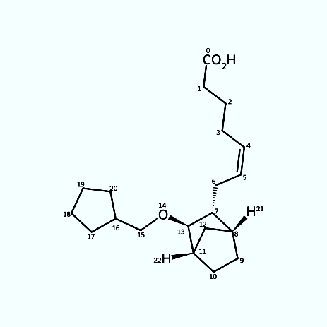 O=C(O)CCC/C=C\C[C@@H]1[C@@H]2CC[C@@H](C2)[C@H]1OCC1CCCC1